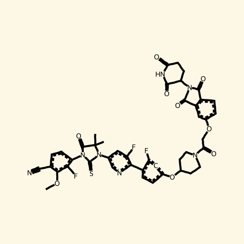 COc1c(C#N)ccc(N2C(=O)C(C)(C)N(c3cnc(-c4ccc(OC5CCN(C(=O)COc6ccc7c(c6)C(=O)N(C6CCC(=O)NC6=O)C7=O)CC5)cc4F)c(F)c3)C2=S)c1F